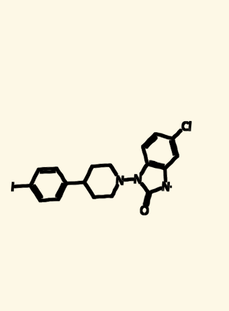 O=C1[N]c2cc(Cl)ccc2N1N1CCC(c2ccc(I)cc2)CC1